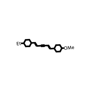 CCC1CCC(C=CC#CC=CC2CCC(OC)CC2)CC1